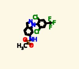 CS(=O)(=O)Nc1ccc2cnn(-c3c(Cl)cc(C(F)(F)F)cc3Cl)c2c1